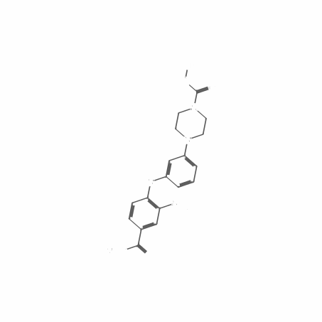 COC(=O)c1ccc(Nc2cccc(N3CCN(C(=O)OC(C)(C)C)CC3)c2)c([N+](=O)[O-])c1